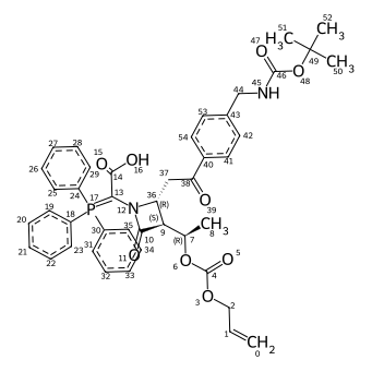 C=CCOC(=O)O[C@H](C)[C@H]1C(=O)N(C(C(=O)O)=P(c2ccccc2)(c2ccccc2)c2ccccc2)[C@@H]1CC(=O)c1ccc(CNC(=O)OC(C)(C)C)cc1